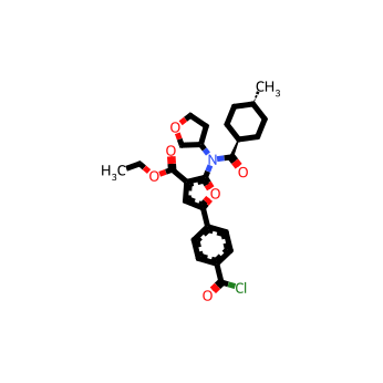 CCOC(=O)c1cc(-c2ccc(C(=O)Cl)cc2)oc1N(C(=O)[C@H]1CC[C@H](C)CC1)C1CCOC1